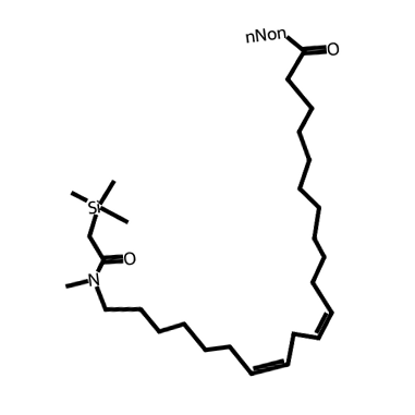 CCCCCCCCCC(=O)CCCCCCCCC/C=C\C/C=C\CCCCCCN(C)C(=O)C[Si](C)(C)C